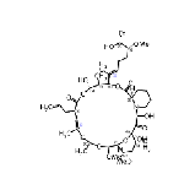 C=CC[C@@H]1/C=C(\C)C[C@H](C)CC(OC)[C@H]2O[C@@](O)(C(=O)C(O)N3CCCC[C@H]3C(=O)O[C@H](/C(C)=C/CC[C@@H](OC)[C@H](O)CC)[C@H](C)[C@@H](O)CC1=O)[C@H](C)C[C@@H]2OC